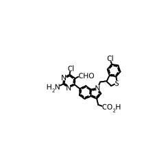 Nc1nc(Cl)c(C=O)c(-c2ccc3c(CC(=O)O)cn(CC4CSc5ccc(Cl)cc54)c3c2)n1